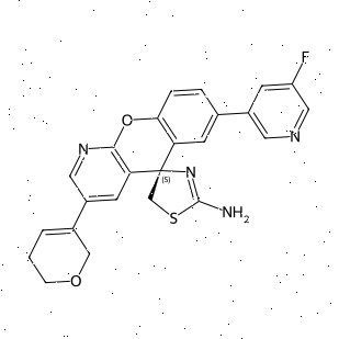 NC1=N[C@@]2(CS1)c1cc(-c3cncc(F)c3)ccc1Oc1ncc(C3=CCCOC3)cc12